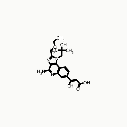 CCOCc1nc2c(N)nc3cc(/C(C)=C/C(=O)O)ccc3c2n1CC(C)(C)O